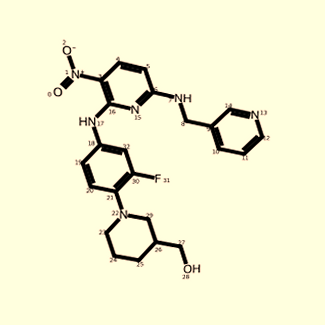 O=[N+]([O-])c1ccc(NCc2cccnc2)nc1Nc1ccc(N2CCCC(CO)C2)c(F)c1